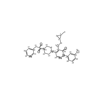 CC1CC1COc1c(N2CCN(S(=O)(=O)Cc3cccnc3)CC2)cnn(-c2cccc(Cl)c2)c1=O